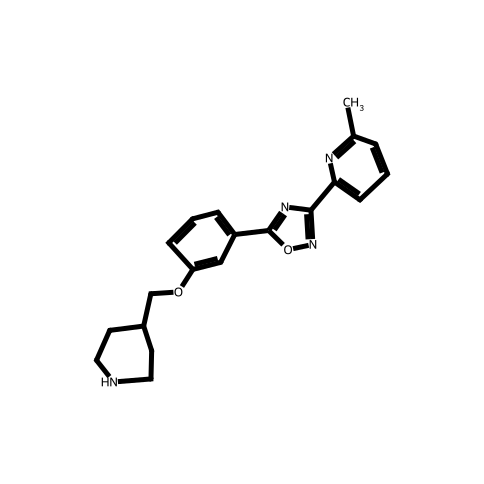 Cc1cccc(-c2noc(-c3cccc(OCC4CCNCC4)c3)n2)n1